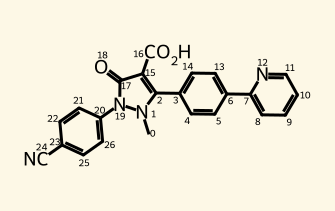 Cn1c(-c2ccc(-c3ccccn3)cc2)c(C(=O)O)c(=O)n1-c1ccc(C#N)cc1